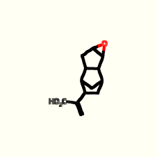 C=C(C(=O)O)C1CC2CC1C1CC3OC3C21